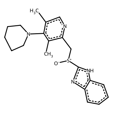 Cc1cnc(C[S+]([O-])c2nc3ccccc3[nH]2)c(C)c1N1CCCCC1